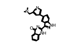 CN(C)Cc1cncc(-c2ccc3[nH]nc(-c4nc(=O)c5ccccc5[nH]4)c3c2)c1